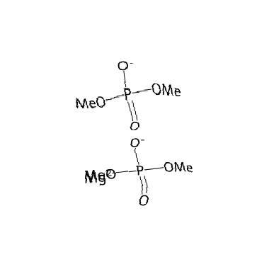 COP(=O)([O-])OC.COP(=O)([O-])OC.[Mg+2]